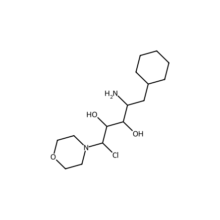 NC(CC1CCCCC1)C(O)C(O)C(Cl)N1CCOCC1